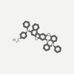 Cc1ccc(N(c2ccccc2)c2cc3oc4cc5c(cc4c3c3ccccc23)Oc2cccc3c2B5c2ccccc2N3c2ccccc2)cc1